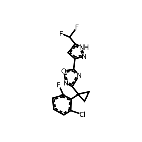 Fc1cccc(Cl)c1C1(c2noc(-c3cc(C(F)F)[nH]n3)n2)CC1